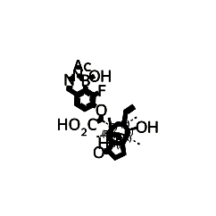 C=C[C@]1(C)C[C@@H](C(Oc2ccc3c(c2F)B(O)N(C(C)=O)N=C3)C(=O)O)[C@@]2(C)[C@H](C)CC[C@]3(CCC(=O)[C@H]32)[C@@H](C)[C@@H]1O